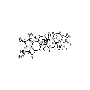 CC(C)NC(=O)[C@@]12CC[C@]3(C)[C@H](CC[C@@H]4[C@@]5(C)CC[C@H](O)C(C)(C)[C@@H]5CC[C@]43C)C1=C(C(C)C)C(=O)C2